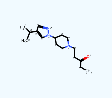 CCC(=O)CCN1CCC(n2cc(C(C)C)cn2)CC1